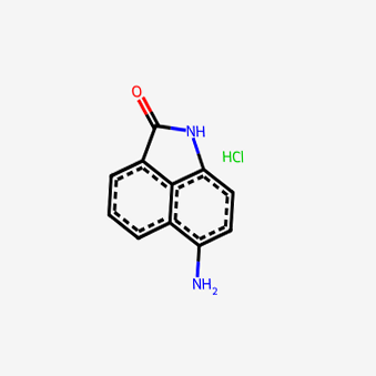 Cl.Nc1ccc2c3c(cccc13)C(=O)N2